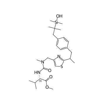 COC(=O)[C@@H](NC(=O)N(C)Cc1csc(C(C)Cc2ccc(CC(C)(C)[Si](C)(C)O)cc2)n1)C(C)C